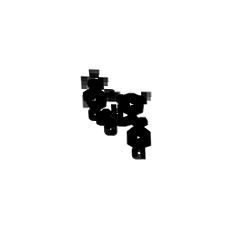 CC(c1ccc(Cl)cc1)C(CNC(=O)C(C)(C)Oc1ccc(C(F)(F)F)cn1)c1cc(F)cc(Br)c1